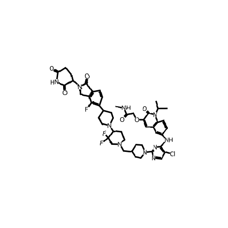 CNC(=O)COc1cc2cc(Nc3nc(N4CCC(CN5CCC(N6CCC(c7ccc8c(c7F)CN(C7CCC(=O)NC7=O)C8=O)CC6)C(F)(F)C5)CC4)ncc3Cl)ccc2n(C(C)C)c1=O